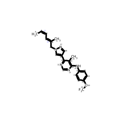 C/C=C\C=C(/C)Cn1cc(-c2ncnc(Nc3ccc(OC(F)(F)F)cc3)c2C)cn1